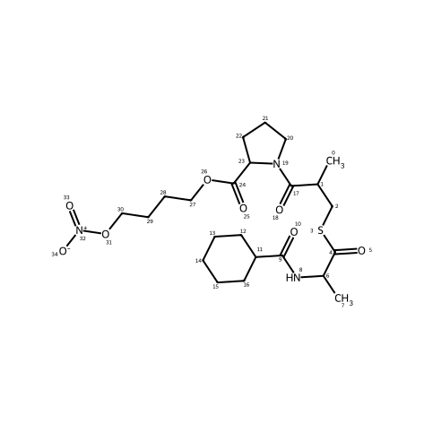 CC(CSC(=O)C(C)NC(=O)C1CCCCC1)C(=O)N1CCCC1C(=O)OCCCCO[N+](=O)[O-]